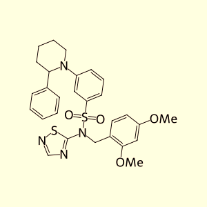 COc1ccc(CN(c2ncns2)S(=O)(=O)c2cccc(N3CCCCC3c3ccccc3)c2)c(OC)c1